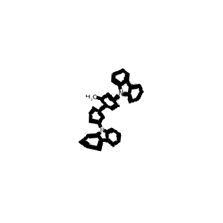 CC1C=C(n2c3ccccc3c3ccccc32)C=CC1c1cccc(-n2c3ccccc3c3ccccc32)c1